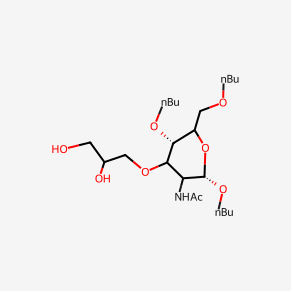 CCCCOCC1O[C@H](OCCCC)C(NC(C)=O)C(OCC(O)CO)[C@@H]1OCCCC